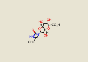 O=Cc1cn([C@@H]2O[C@@H]3[C@H](O)[C@H](O)[C@@H](C(=O)O)O[C@H]3[C@H]2O)c(=O)[nH]1